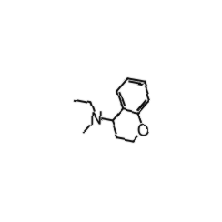 CCN(C)C1CCOc2ccccc21